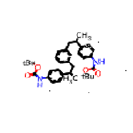 CC(Cc1cccc(CC(C)c2ccc(NC(=O)OC(C)(C)C)cc2)c1)c1ccc(NC(=O)OC(C)(C)C)cc1